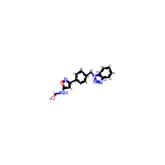 O=CNc1cc(-c2ccc(Cn3nnc4ccccc43)cc2)no1